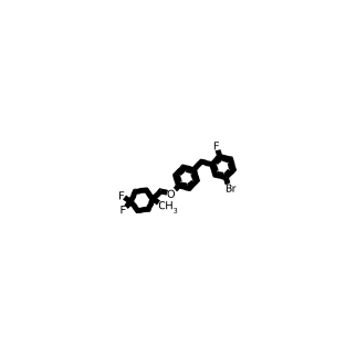 CC1(COc2ccc(Cc3cc(Br)ccc3F)cc2)CCC(F)(F)CC1